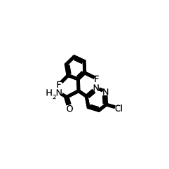 NC(=O)C(c1ccc(Cl)nn1)c1c(F)cccc1F